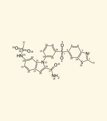 Cc1nc2ccc(S(=O)(=O)c3cccc(-n4c(C(N)=O)cc5ccc(NS(C)(=O)=O)cc54)c3)cc2s1